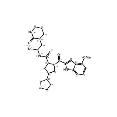 COc1cccc2[nH]c(C(=O)N3CC(C4CCCC4)CC3C(=O)NC(C#N)C[C@@H]3CCCNC3=O)cc12